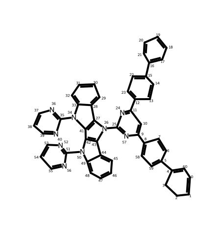 C1=CCCC(c2ccc(-c3cc(-c4ccc(-c5ccccc5)cc4)nc(-n4c5c6ccccc6n(-c6ncccn6)c5c5c4c4ccccc4n5-c4ncccn4)n3)cc2)=C1